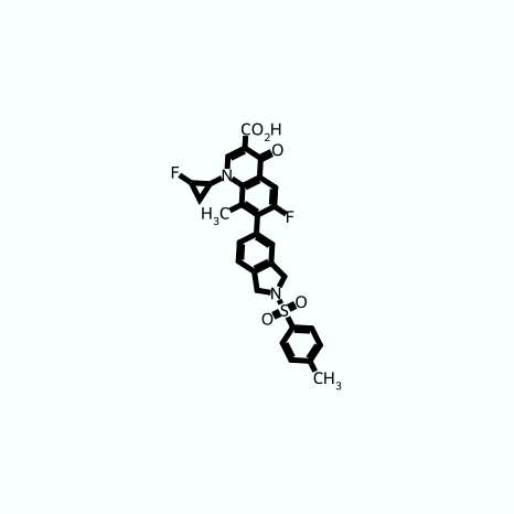 Cc1ccc(S(=O)(=O)N2Cc3ccc(-c4c(F)cc5c(=O)c(C(=O)O)cn(C6CC6F)c5c4C)cc3C2)cc1